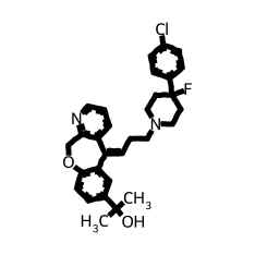 CC(C)(O)c1ccc2c(c1)/C(=C/CCN1CCC(F)(c3ccc(Cl)cc3)CC1)c1cccnc1CO2